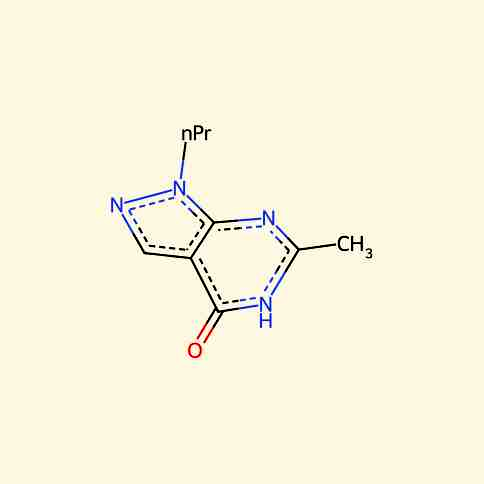 CCCn1ncc2c(=O)[nH]c(C)nc21